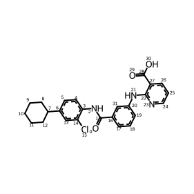 O=C(Nc1ccc(C2CCCCC2)cc1Cl)c1cccc(Nc2ncccc2C(=O)O)c1